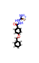 NC(=S)NNC(=O)c1ccc(OCc2ccccc2)cc1